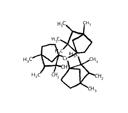 CC1C2(C)CC[C]([Cr]([C]34CCC(C)(C3)C(C)C4(C)C)[C]34CCC(C)(C3)C(C)C4(C)C)(C2)C1(C)C